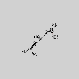 CC/C=C\CCCCOC(CCCOC(=O)CCCCCCCN(CCO)CCCCCCCC(=O)OCCCC(OCCCC/C=C\CC)OCCCC/C=C\CC)OCCCC/C=C\CC